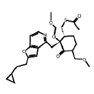 COCO[C@@]1(Cc2nccc3oc(CCC4CC4)cc23)C(=O)C(COC)CC[C@H]1CSC(C)=O